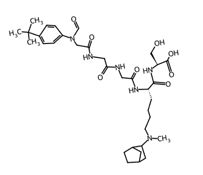 CN(CCCC[C@H](NC(=O)CNC(=O)CNC(=O)CN(C=O)c1ccc(C(C)(C)C)cc1)C(=O)N[C@@H](CO)C(=O)O)C1CC2CCC1C2